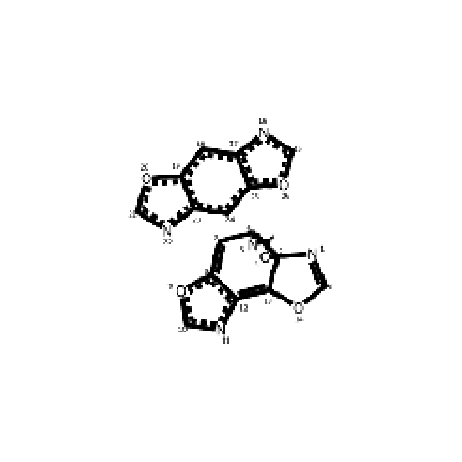 C1=NC23OCN=C2C=c2ocnc2=C3O1.c1nc2cc3ocnc3cc2o1